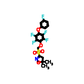 CC1(C)CC(S(=O)(=O)COc2c(F)c(F)c(Oc3cccc(F)c3)c(F)c2F)=NO1